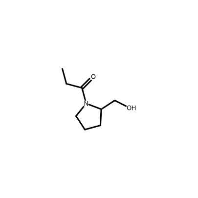 CCC(=O)N1CCCC1CO